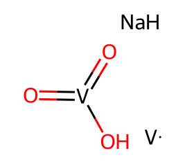 [NaH].[O]=[V](=[O])[OH].[V]